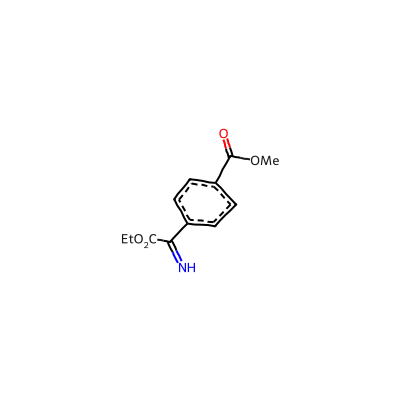 CCOC(=O)C(=N)c1ccc(C(=O)OC)cc1